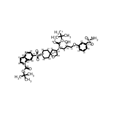 CC(C)(C)OC(=O)N(C[C@H](O)COc1cccc(S(N)(=O)=O)c1)[C@H]1COC2(CCN(S(=O)(=O)c3cnc4ccn(C(=O)OC(C)(C)C)c4c3)CC2)C1